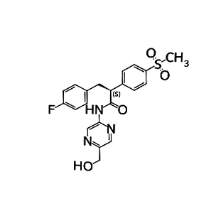 CS(=O)(=O)c1ccc([C@H](Cc2ccc(F)cc2)C(=O)Nc2cnc(CO)cn2)cc1